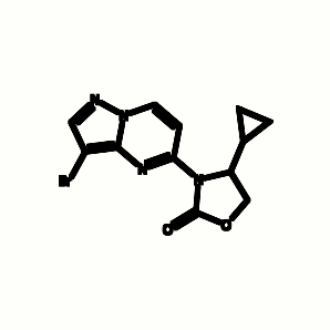 O=C1OCC(C2CC2)N1c1ccn2ncc(Br)c2n1